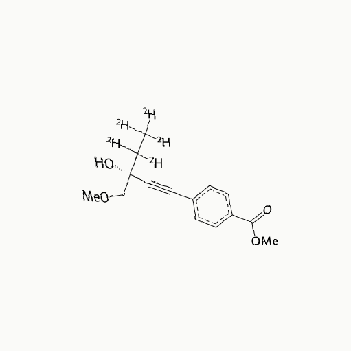 [2H]C([2H])([2H])C([2H])([2H])[C@@](O)(C#Cc1ccc(C(=O)OC)cc1)COC